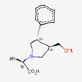 CC(C)[C@H](C(=O)O)N1C[C@H](CO)[C@@H](c2ccccc2)C1